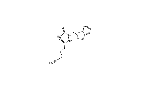 C#CCCCC(=O)N[C@@H](Cc1c[nH]c2ccccc12)C(=O)O